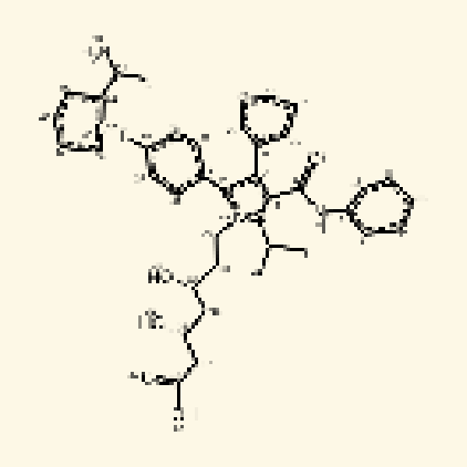 CC(C)c1c(C(=O)Nc2ccccc2)c(-c2ccccc2)c(-c2ccc(F)cc2)n1CC[C@@H](O)C[C@@H](O)CC(=O)O.CC(N)c1ccccc1